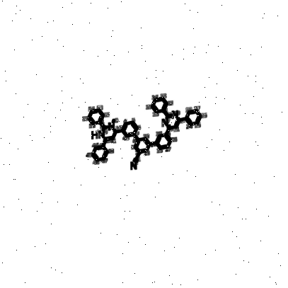 CN1C(c2cccc(-c3cc(C#N)cc(-c4cccc(-c5cc(-c6ccccc6)nc(-c6ccccc6)n5)c4)c3)c2)C=C(c2ccccc2)NC1c1ccccc1